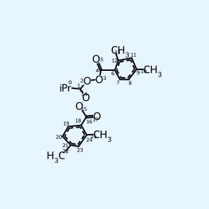 [CH2]C(C)[C](OOC(=O)c1ccc(C)cc1C)OOC(=O)c1ccc(C)cc1C